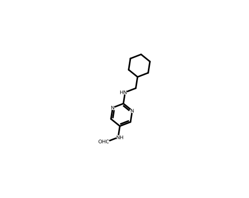 O=CNc1cnc(NCC2CCCCC2)nc1